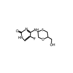 O=c1nc(NC2COC(CO)CS2)c(F)c[nH]1